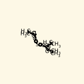 CN(C)CCC(=O)OCC(COc1ccc(Sc2ccc(OCC(CCl)OC(=O)CCN(C)C)cc2)cc1)OC(=O)CCN(C)C